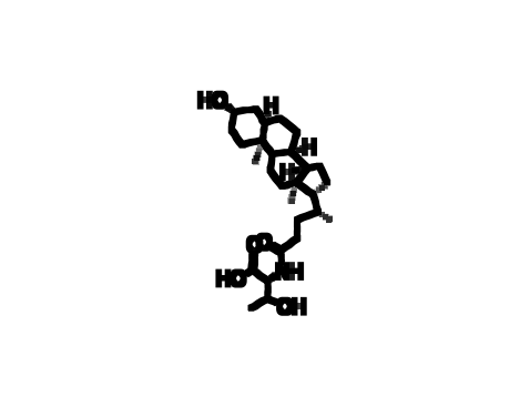 CC(O)[C@H](NC(=O)CC[C@@H](C)[C@H]1CC[C@H]2[C@@H]3CC[C@@H]4C[C@H](O)CC[C@]4(C)C3CC[C@]12C)C(=O)O